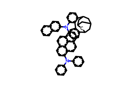 c1ccc(N(c2ccccc2)c2ccc3ccc4c(N(c5ccc6ccccc6c5)c5cccc6c5-c5ccccc5C5CC7CC(C5)CC6C7)ccc5ccc2c3c54)cc1